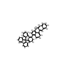 c1ccc(C2(c3ccccc3)c3ccccc3-c3c(-c4ccc5c6c(cccc46)-c4cc6ccccc6cc4O5)cccc32)cc1